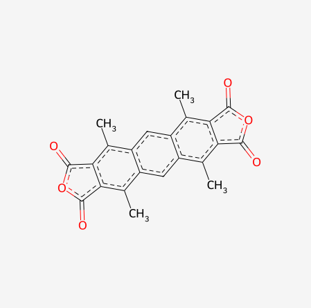 Cc1c2cc3c(C)c4c(=O)oc(=O)c4c(C)c3cc2c(C)c2c(=O)oc(=O)c12